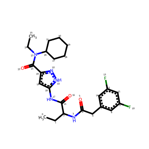 CCC(NC(=O)Cc1cc(F)cc(F)c1)C(=O)Nc1cc(C(=O)N(CC)C2CCCCC2)n[nH]1